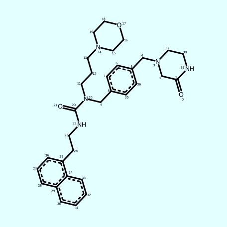 O=C1CN(Cc2ccc(CN(CCCN3CCOCC3)C(=O)NCCc3cccc4ccccc34)cc2)CCN1